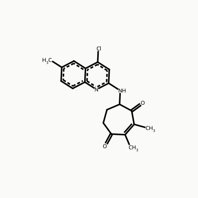 CC1=C(C)C(=O)C(Nc2cc(Cl)c3cc(C)ccc3n2)CCC1=O